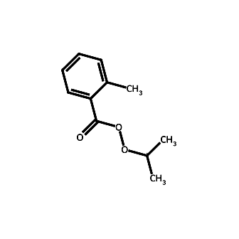 C[C](C)OOC(=O)c1ccccc1C